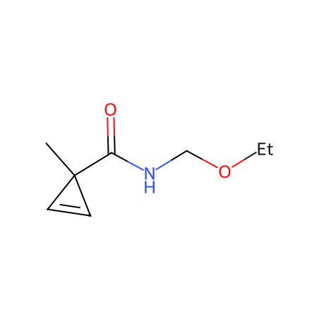 CCOCNC(=O)C1(C)C=C1